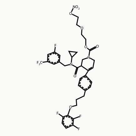 O=C(OCCOCCO[N+](=O)[O-])N1CC=C(c2ccc(CCCOc3c(F)ccc(F)c3F)cc2)C(C(=O)N(Cc2cc(F)cc(C(F)(F)F)c2)C2CC2)C1